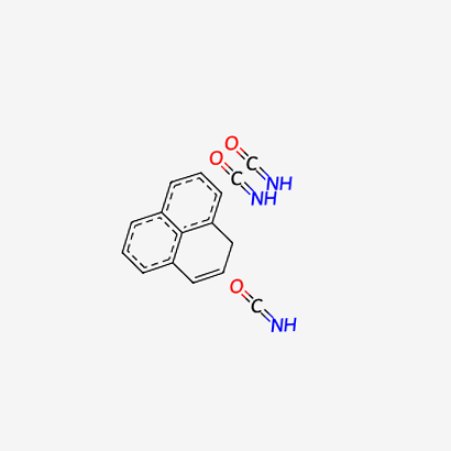 C1=Cc2cccc3cccc(c23)C1.N=C=O.N=C=O.N=C=O